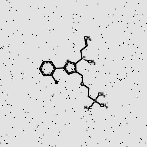 C=CC[C@H](C)c1nc(-c2ccccc2Br)cn1COCC[Si](C)(C)C